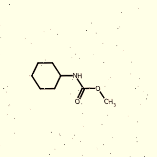 COC(=O)NC1CC[CH]CC1